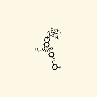 COc1cc2c(cc1S(=O)(=O)c1ccc(OCc3cccc(F)c3)cc1)CN(C(=O)OC(C)(C)C)CC2